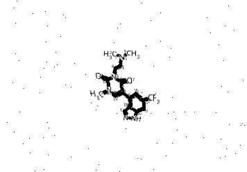 CN(C)CCn1c(=O)c(-c2cc(C(F)(F)F)cc3[nH]ncc23)cn(C)c1=O